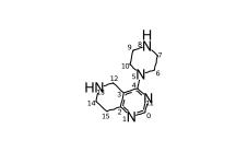 c1nc2c(c(N3CCNCC3)n1)CNCC2